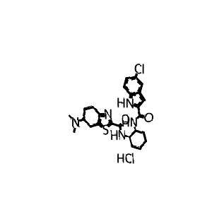 CN(C)C1CCc2nc(C(=O)N[C@@H]3CCCC[C@@H]3NC(=O)c3cc4cc(Cl)ccc4[nH]3)sc2C1.Cl